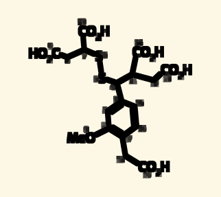 COc1cc(C(SSC(CC(=O)O)C(=O)O)C(CC(=O)O)C(=O)O)ccc1CC(=O)O